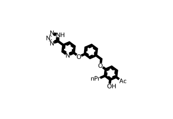 CCCc1c(OCc2cccc(Oc3ccc(-c4nnn[nH]4)cn3)c2)ccc(C(C)=O)c1O